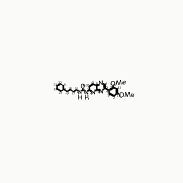 COc1ccc(-c2cnc3ccc(NC(=O)NCCCCc4ccccc4)nc3n2)c(OC)c1